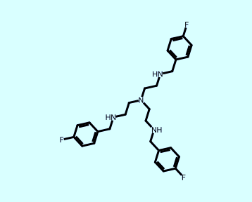 Fc1ccc(CNCCN(CCNCc2ccc(F)cc2)CCNCc2ccc(F)cc2)cc1